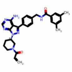 C=CC(=O)N1CCC[C@@H](n2nc(-c3ccc(CNC(=O)c4cc(C)cc(C)c4)cc3)c3c(N)ncnc32)C1